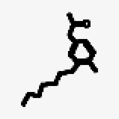 CCCCCCCc1cc(CC(C)=O)ccc1C